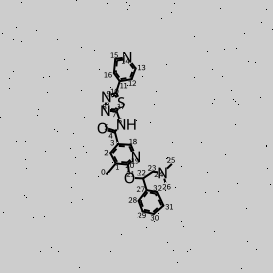 Cc1cc(C(=O)Nc2nnc(-c3ccncc3)s2)cnc1OC(CN(C)C)c1ccccc1